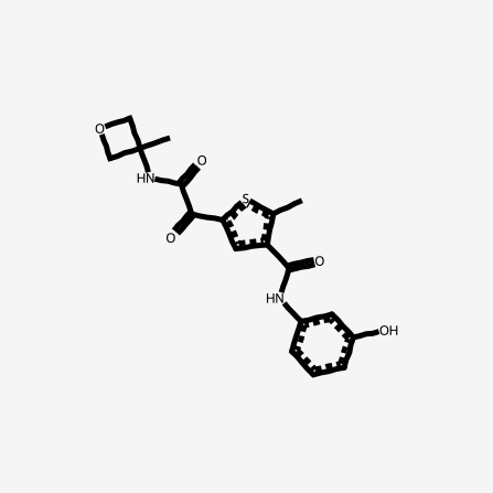 Cc1sc(C(=O)C(=O)NC2(C)COC2)cc1C(=O)Nc1cccc(O)c1